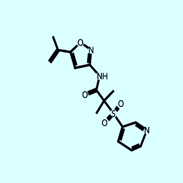 C=C(C)c1cc(NC(=O)C(C)(C)S(=O)(=O)c2cccnc2)no1